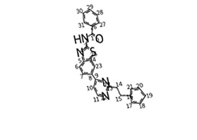 O=C(Nc1nc2ccc(-c3ccnc(CCc4ccccc4)n3)cc2s1)c1ccccc1